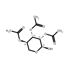 CC(=O)O[C@@H]1[C@H](OC(C)=O)[C@@H](O)OC[C@H]1OC(C)=O